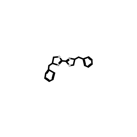 c1ccc(CC2COC(C3=NC(Cc4ccccc4)CO3)=N2)cc1